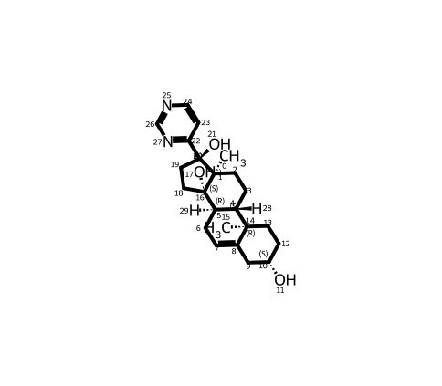 C[C@]12CC[C@H]3[C@@H](CC=C4C[C@@H](O)CC[C@@]43C)[C@@]1(O)CC[C@]2(O)c1ccncn1